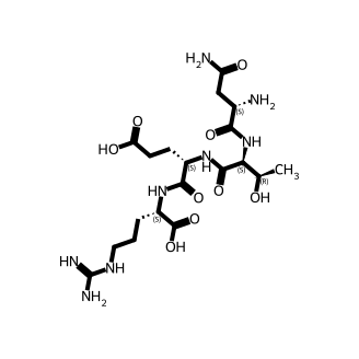 C[C@@H](O)[C@H](NC(=O)[C@@H](N)CC(N)=O)C(=O)N[C@@H](CCC(=O)O)C(=O)N[C@@H](CCCNC(=N)N)C(=O)O